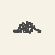 COc1cccc(C2(C)OC(NC(=O)CCCBr)=C(OC(C)=O)C2=O)c1OC